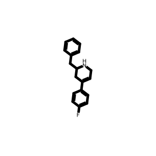 Fc1ccc(C2=CCNC(Cc3ccccc3)C2)cc1